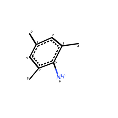 Cc1cc(C)c([NH])c(C)c1